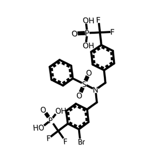 O=P(O)(O)C(F)(F)c1ccc(CN(Cc2ccc(C(F)(F)P(=O)(O)O)c(Br)c2)S(=O)(=O)c2ccccc2)cc1